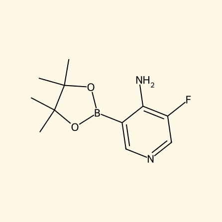 CC1(C)OB(c2cncc(F)c2N)OC1(C)C